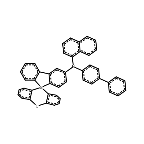 c1ccc(-c2ccc(N(c3ccc4c(c3)-c3ccccc3[Si]43c4ccccc4Oc4ccccc43)c3cccc4ccccc34)cc2)cc1